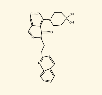 O=c1c2c(N3CCS(O)(O)CC3)cccc2cnn1CCc1ccc2ccccc2n1